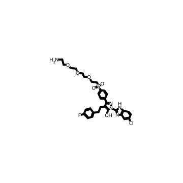 NCCOCCOCCOCCS(=O)(=O)c1ccc(-c2nn(-c3nc4cc(Cl)ccc4[nH]3)c(O)c2CCc2ccc(F)cc2)cc1